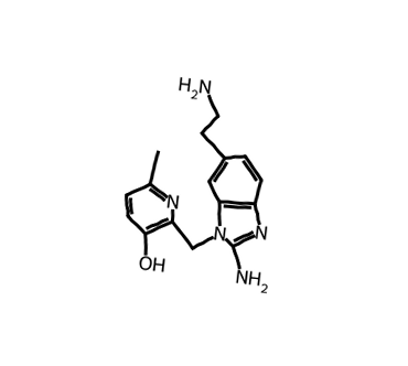 Cc1ccc(O)c(Cn2c(N)nc3ccc(CCN)cc32)n1